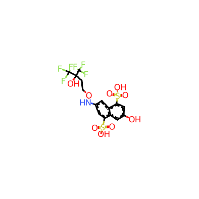 O=S(=O)(O)c1cc(NOCCC(O)(C(F)(F)F)C(F)(F)F)cc2c(S(=O)(=O)O)cc(O)cc12